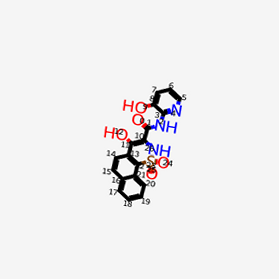 O=C(Nc1ncccc1O)C1=C(O)c2ccc3ccccc3c2S(=O)(=O)N1